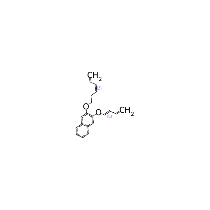 C=C/C=C\CCOc1cc2ccccc2cc1O/C=C/C=C